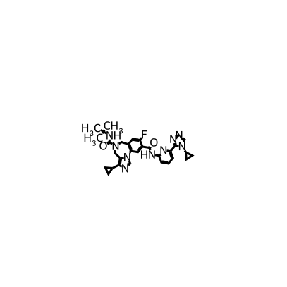 CC(C)(C)NC(=O)N1Cc2cc(F)c(C(=O)Nc3cccc(-c4nncn4C4CC4)n3)cc2-n2cnc(C3CC3)c2C1